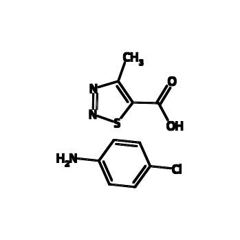 Cc1nnsc1C(=O)O.Nc1ccc(Cl)cc1